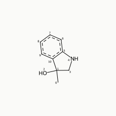 CC1(O)CNc2ccccc21